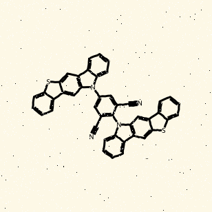 N#Cc1cc(-n2c3ccccc3c3cc4sc5ccccc5c4cc32)cc(C#N)c1-n1c2ccccc2c2cc3sc4ccccc4c3cc21